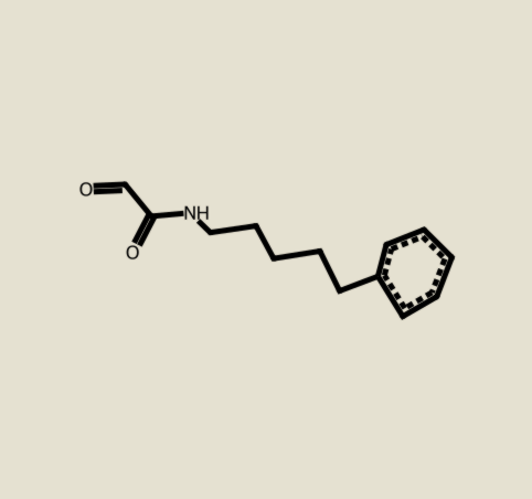 O=CC(=O)NCCCCCc1ccccc1